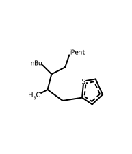 CCCCC(CC(C)CCC)C(C)Cc1cccs1